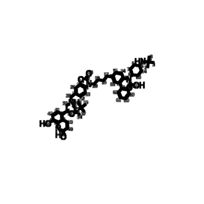 CC(C)(C)NC1CCC(N(C(=O)O)c2ccc(CCCCn3c(=O)oc4cc(CNC[C@@H](O[Si](C)(C)C(C)(C)C)c5ccc(O)c6[nH]c(=O)ccc56)ccc43)cc2-c2ccccc2)CC1